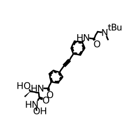 C[C@@H](O)[C@H](NC(=O)c1ccc(C#Cc2ccc(NC(=O)CN(C)C(C)(C)C)cc2)cc1)C(=O)NO